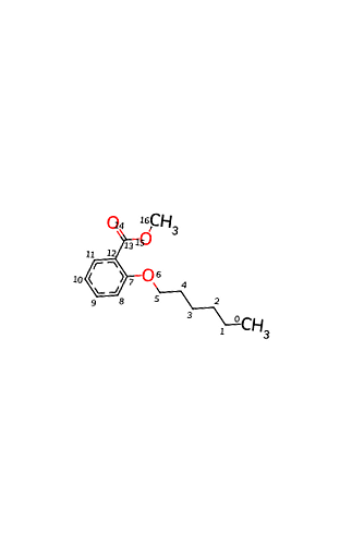 CCCCCCOc1ccccc1C(=O)OC